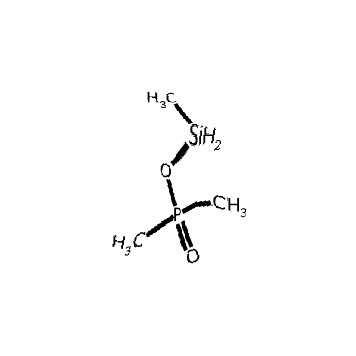 C[SiH2]OP(C)(C)=O